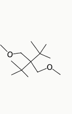 COCC(COC)(C(C)(C)C)C(C)(C)C